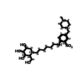 CN1CCN(Cc2ccc(NCCCCCCN3CC(O)C(O)C(O)C3CO)c([N+](=O)[O-])c2)CC1